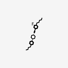 CCCCCc1ccc(C#C[C@H]2CC[C@H](c3ccc(CCCC)cc3)CC2)cc1F